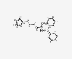 O=C(NC(c1ccccc1)c1ccccc1)OCCCc1c[nH]cn1